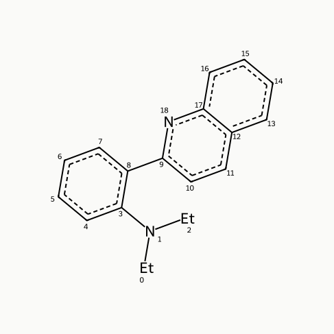 CCN(CC)c1ccccc1-c1ccc2ccccc2n1